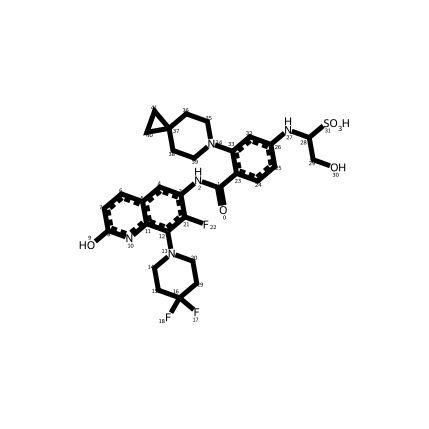 O=C(Nc1cc2ccc(O)nc2c(N2CCC(F)(F)CC2)c1F)c1ccc(NC(CO)S(=O)(=O)O)cc1N1CCC2(CC1)CC2